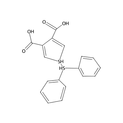 O=C(O)C1=C[SH]([SH](c2ccccc2)c2ccccc2)C=C1C(=O)O